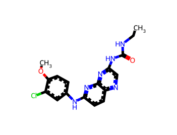 CCNC(=O)Nc1cnc2ccc(Nc3ccc(OC)c(Cl)c3)nc2n1